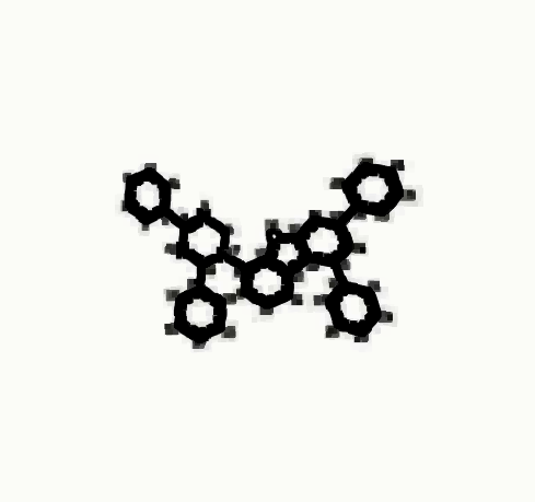 c1ccc(C2=NCN(c3cccc4c3oc3cc(-c5ccccc5)cc(-c5ccccc5)c34)C(c3ccccc3)=N2)cc1